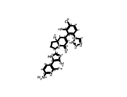 [2H]c1nc([C@@H]2CC[C@@H]3CC(c4c(-n5cnnn5)ccc(Cl)c4F)=CC(=O)N32)[nH]c1-c1ccc(N)nc1F